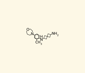 Cc1cc(N2CCCOCC2)ccc1NC1CC2(CC(N)C2)C1